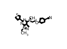 CCn1ncc2c(N(C)CCOc3ccc(C#N)cc3)nc(-c3ccsc3)nc21